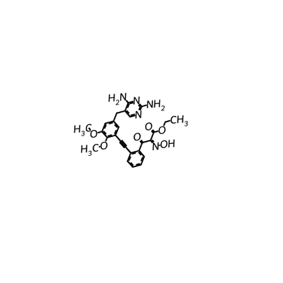 CCOC(=O)C(=NO)C(=O)c1ccccc1C#Cc1cc(Cc2cnc(N)nc2N)cc(OC)c1OC